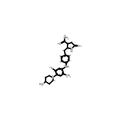 Cc1cc(N2CCC(C)CC2)c(F)cc1Nc1ccc(CC2NC(=O)CC2C(N)=O)cc1